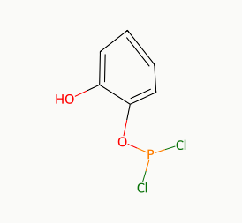 Oc1ccccc1OP(Cl)Cl